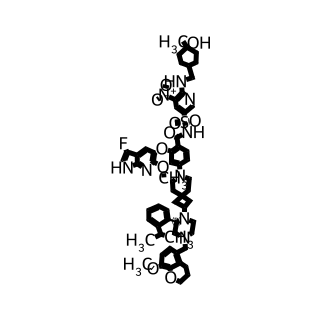 COc1ccc(CN2CCN(C3CC4(CCN(c5ccc(C(=O)NS(=O)(=O)c6cnc(NCC7CCC(C)(O)CC7)c([N+](=O)[O-])c6)c(Oc6cc7c(F)c[nH]c7nc6OC)c5)CC4)C3)[C@H](c3ccccc3C(C)C)C2)c2c1OCCC2